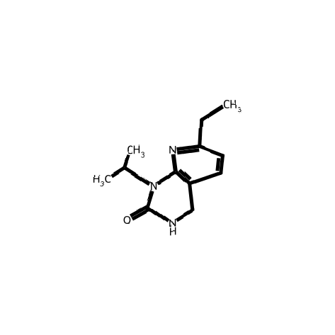 CCc1ccc2c(n1)N(C(C)C)C(=O)NC2